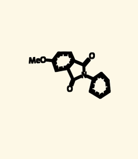 COc1ccc2c(c1)C(=O)N(c1ccccc1)C2=O